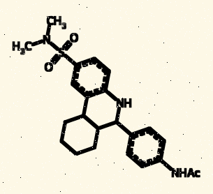 CC(=O)Nc1ccc(C2Nc3ccc(S(=O)(=O)N(C)C)cc3C3CCCCC32)cc1